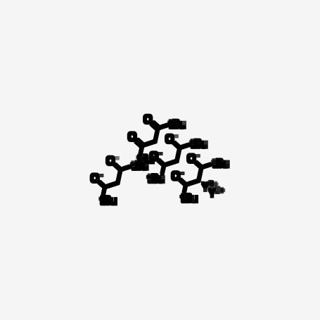 CC(C)(C)C(=O)CC(=O)C(C)(C)C.CC(C)(C)C([O-])CC([O-])C(C)(C)C.CC(C)(C)C([O-])CC([O-])C(C)(C)C.CC(C)(C)C([O-])CC([O-])C(C)(C)C.[Y+3].[Y+3]